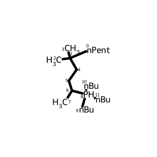 CCCCCC(C)(C)CCC(C)[PH](CCCC)(CCCC)CCCC